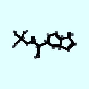 O=C(NCC(F)(F)F)c1ccc2[nH]ccc2c1